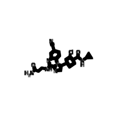 N#Cc1ccc2c(c1)nc(NCCC(N)=O)c1ncc(-c3ccc(C(=O)NC4CC4)c(Cl)c3)n12